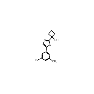 Cc1cc(Br)cc(-c2cnc(C3(O)CCC3)s2)c1